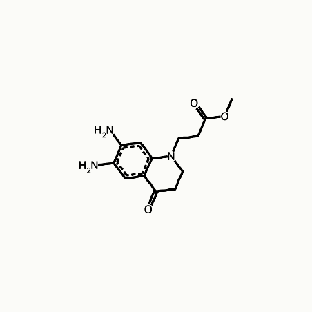 COC(=O)CCN1CCC(=O)c2cc(N)c(N)cc21